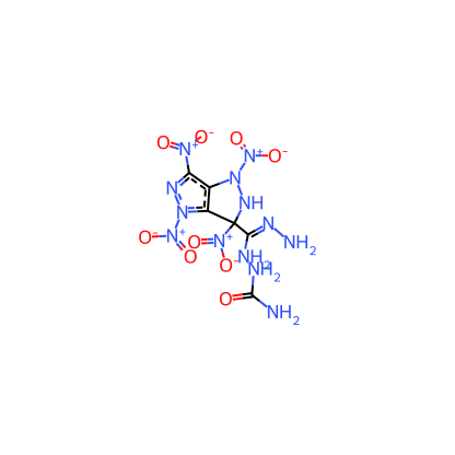 NC(N)=O.NN=C(N)C1([N+](=O)[O-])NN([N+](=O)[O-])c2c([N+](=O)[O-])nn([N+](=O)[O-])c21